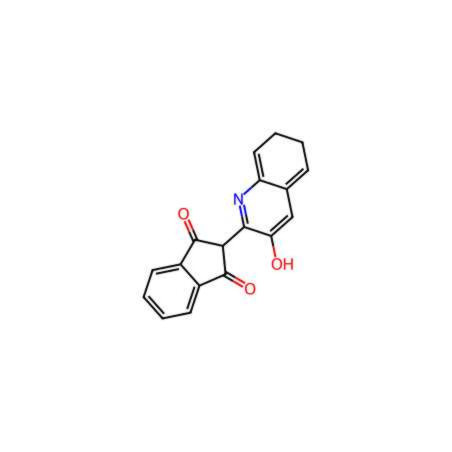 O=C1c2ccccc2C(=O)C1c1nc2c(cc1O)=CCCC=2